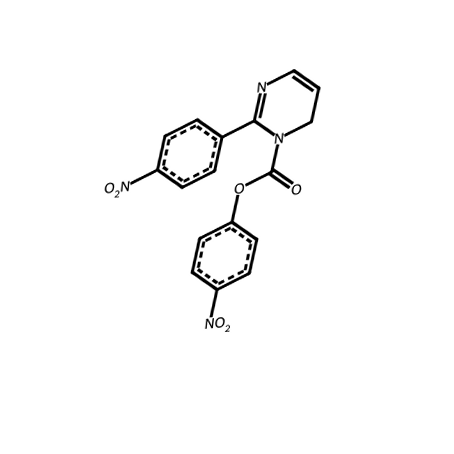 O=C(Oc1ccc([N+](=O)[O-])cc1)N1CC=CN=C1c1ccc([N+](=O)[O-])cc1